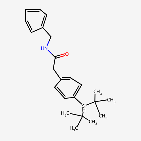 CC(C)(C)[SiH](c1ccc(CC(=O)NCc2ccccc2)cc1)C(C)(C)C